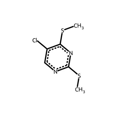 CSc1ncc(Cl)c(SC)n1